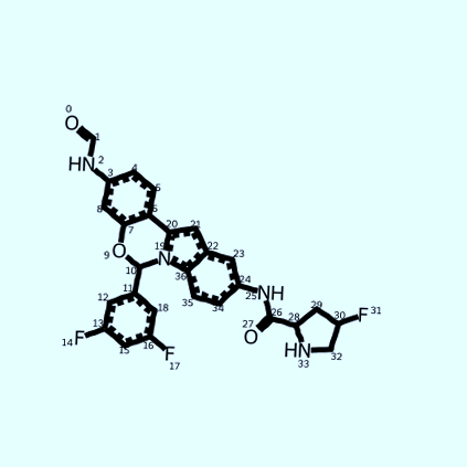 O=CNc1ccc2c(c1)OC(c1cc(F)cc(F)c1)n1c-2cc2cc(NC(=O)C3CC(F)CN3)ccc21